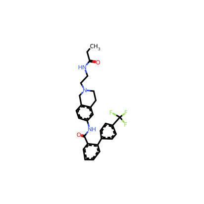 CCC(=O)NCCN1CCc2cc(NC(=O)c3ccccc3-c3ccc(C(F)(F)F)cc3)ccc2C1